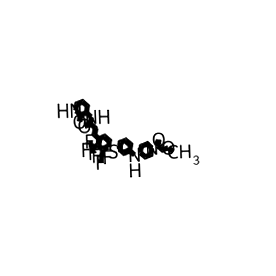 COCC(=O)N1CCC(Nc2cccc(Sc3ccc(C=CC(=O)NC4CCCNC4=O)c(C(F)(F)F)c3C(F)(F)F)c2)CC1